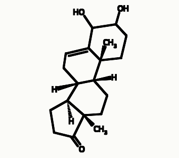 C[C@]12CCC(O)C(O)C1=CC[C@@H]1[C@H]2CC[C@]2(C)C(=O)CC[C@@H]12